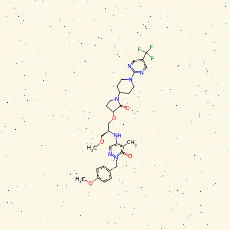 COC[C@@H](COC1CCN(C2CCN(c3ncc(C(F)(F)F)cn3)CC2)C1=O)Nc1cnn(Cc2ccc(OC)cc2)c(=O)c1C